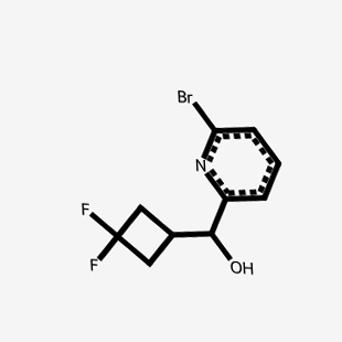 OC(c1cccc(Br)n1)C1CC(F)(F)C1